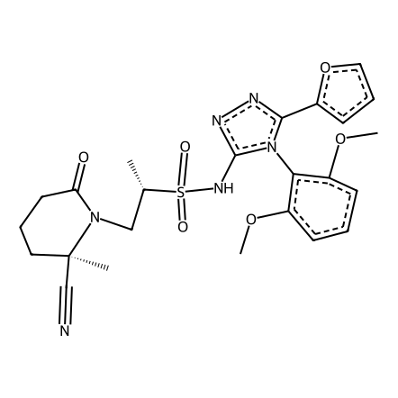 COc1cccc(OC)c1-n1c(NS(=O)(=O)[C@@H](C)CN2C(=O)CCC[C@]2(C)C#N)nnc1-c1ccco1